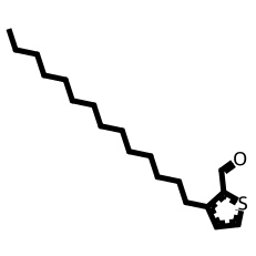 CCCCCCCCCCCCCCc1ccsc1C=O